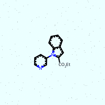 CCOC(=O)c1cc2ccccc2n1-c1cccnc1